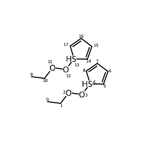 CCOO[SH]1C=CC=C1.CCOO[SH]1C=CC=C1